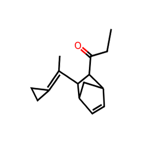 CCC(=O)C1C2C=CC(C2)C1C(C)=C1CC1